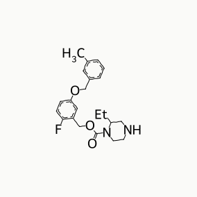 CCC1CNCCN1C(=O)OCc1cc(OCc2cccc(C)c2)ccc1F